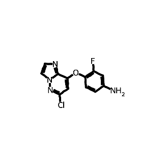 Nc1ccc(Oc2cc(Cl)nn3ccnc23)c(F)c1